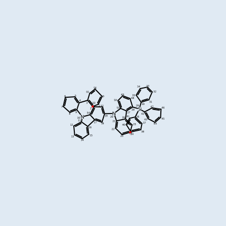 c1ccc(-c2ccccc2-n2c3ccccc3c3cc(-n4c5ccccc5c5c([Si](c6ccccc6)(c6ccccc6)c6ccccc6)cccc54)ccc32)cc1